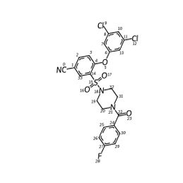 N#Cc1ccc(Oc2cc(Cl)cc(Cl)c2)c(S(=O)(=O)N2CCN(C(=O)c3ccc(F)cc3)CC2)c1